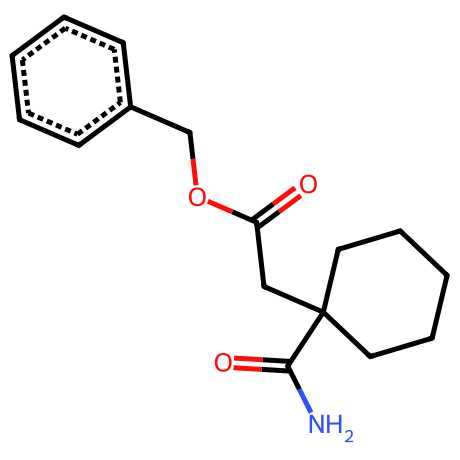 NC(=O)C1(CC(=O)OCc2ccccc2)CCCCC1